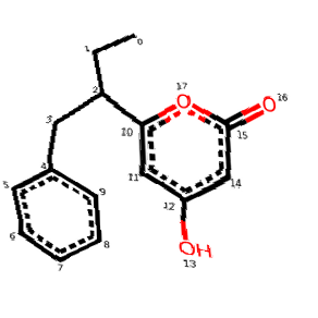 CCC(Cc1ccccc1)c1cc(O)cc(=O)o1